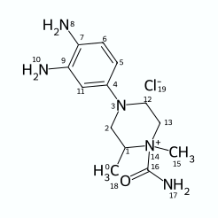 CC1CN(c2ccc(N)c(N)c2)CC[N+]1(C)C(N)=O.[Cl-]